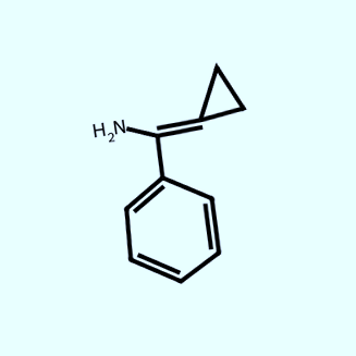 NC(=C1CC1)c1ccccc1